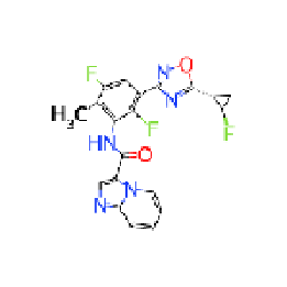 Cc1c(F)cc(-c2noc([C@@H]3C[C@H]3F)n2)c(F)c1NC(=O)c1cnc2ccccn12